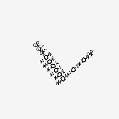 CN(C)c1ccc([N+]#N)cc1.CN(C)c1ccc([N+]#N)cc1.CN(C)c1ccc([N+]#N)cc1.CN(C)c1ccc([N+]#N)cc1.CN(C)c1ccc([N+]#N)cc1.CN(C)c1ccc([N+]#N)cc1.CN(C)c1ccc([N+]#N)cc1.CN(C)c1ccc([N+]#N)cc1.[O-]B([O-])F.[O-]B([O-])F.[O-]B([O-])F.[O-]B([O-])F